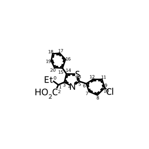 CCC(C(=O)O)c1nc(-c2ccc(Cl)cc2)sc1-c1ccccc1